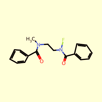 CN(CCN(F)C(=O)c1ccccc1)C(=O)c1ccccc1